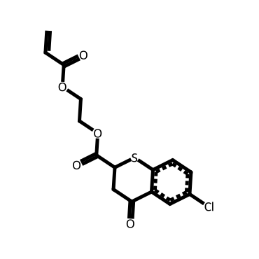 C=CC(=O)OCCOC(=O)C1CC(=O)c2cc(Cl)ccc2S1